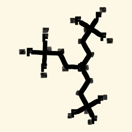 FC(F)(F)CC[Si](CCC(F)(F)F)CCC(F)(F)F